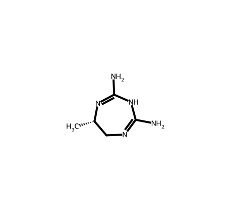 C[C@H]1CN=C(N)NC(N)=N1